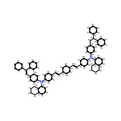 C(=C(c1ccccc1)c1ccccc1)c1ccc(N(c2ccc(/C=C/c3ccc(/C=C/c4ccc(N(c5ccc(CC(c6ccccc6)c6ccccc6)cc5)c5cccc6c5CCCC6)cc4)cc3)cc2)c2cccc3c2CCCC3)cc1